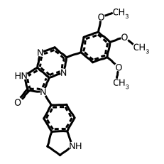 COc1cc(-c2cnc3[nH]c(=O)n(-c4ccc5c(c4)CCN5)c3n2)cc(OC)c1OC